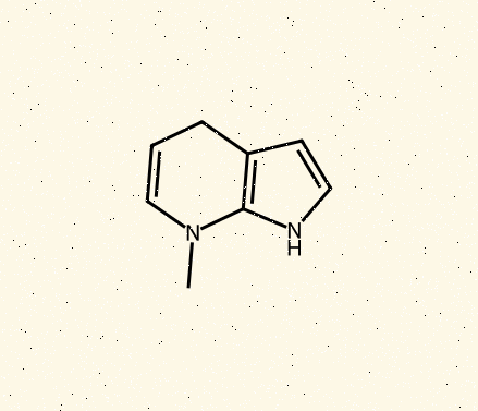 CN1C=CCc2cc[nH]c21